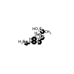 Cc1ccc2c(NCc3ccn(C)n3)cccc2c1Oc1ncccc1-c1ccnc(NC2CC(C)CN(C(=O)O)C2)n1